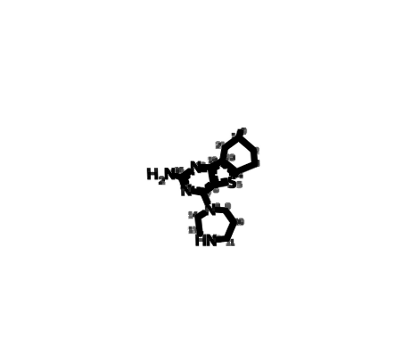 CC1CCc2sc3c(N4CCCNCC4)nc(N)nc3c2C1